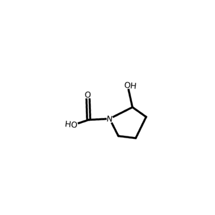 O=C(O)N1CCCC1O